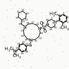 Cc1cccc(C)c1N1CCN(S(=O)(=O)N2CCCN(CC3CCCCC3)CCCN(Sc3ccc(N(C)C)cc3)CCC2)CC1